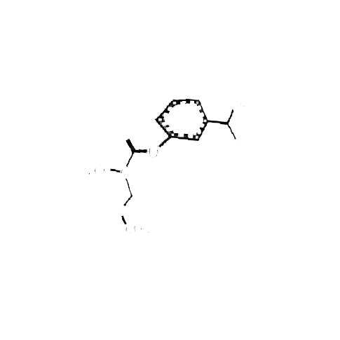 CSCN(C)C(=O)Oc1cccc(C(C)C)c1